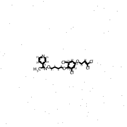 CC(=NOCCCCOc1c(Cl)cc(OCC=C(Cl)Cl)cc1Cl)c1ccncc1